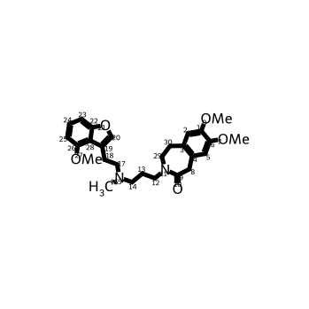 COc1cc2c(cc1OC)CC(=O)N(CCCN(C)CCc1coc3cccc(OC)c13)CC2